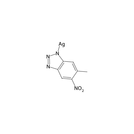 Cc1cc2c(cc1[N+](=O)[O-])nn[n]2[Ag]